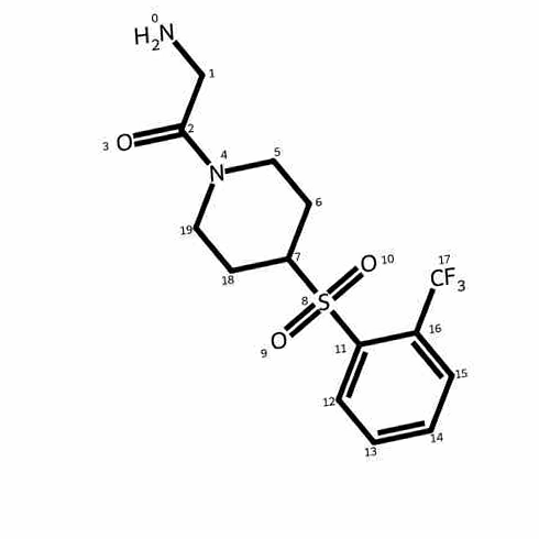 NCC(=O)N1CCC(S(=O)(=O)c2ccccc2C(F)(F)F)CC1